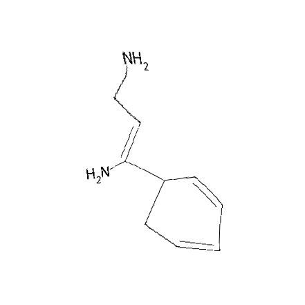 NC/C=C(\N)C1C=CC=CC1